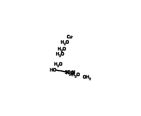 O.O.O.O.O.O.O.O=S(=O)(O)O.[Cu]